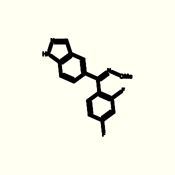 CON=C(c1ccc2[nH]ncc2c1)c1ccc(F)cc1F